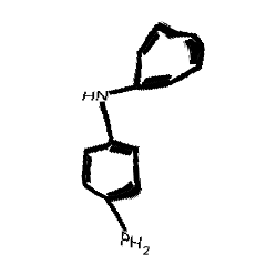 Pc1ccc(Nc2ccccc2)cc1